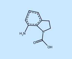 Nc1cccc2c1N(C(=O)O)CC2